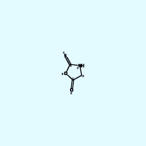 O=C1CNC(=S)O1